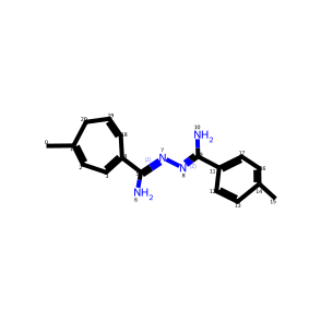 CC1=CC=C(/C(N)=N/N=C(\N)c2ccc(C)cc2)C=CC1